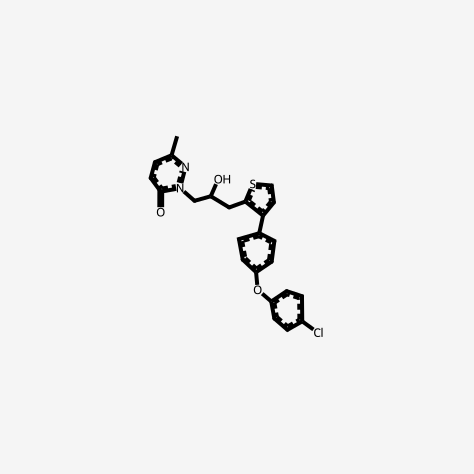 Cc1ccc(=O)n(CC(O)Cc2sccc2-c2ccc(Oc3ccc(Cl)cc3)cc2)n1